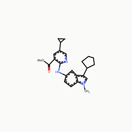 COC(=O)c1cc(C2CC2)cnc1Nc1ccc2c(c1)c(C1CCCC1)cn2C